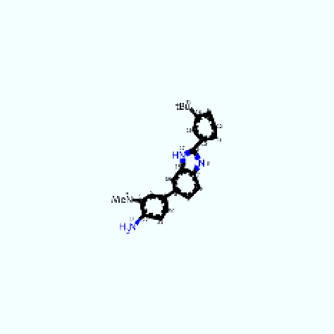 CNc1cc(-c2ccc3nc(-c4cccc(C(C)(C)C)c4)[nH]c3c2)ccc1N